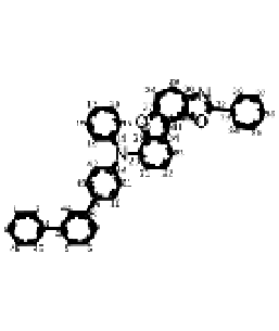 c1ccc(-c2cccc(-c3ccc(N(c4ccccc4)c4cccc5c4oc4ccc6nc(-c7ccccc7)oc6c45)cc3)c2)cc1